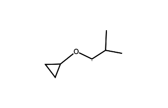 CC(C)[CH]OC1CC1